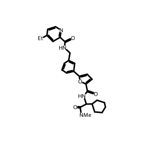 CCc1ccnc(C(=O)NCc2cccc(-c3ccc(C(=O)NC(C(=O)NC)C4CCCCC4)o3)c2)c1